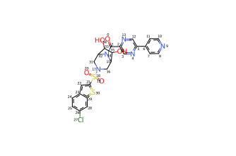 O=C(c1cnc(-c2ccncc2)cn1)N1C2CN(S(=O)(=O)c3cc4ccc(Cl)cc4s3)CC1C(O)C2O